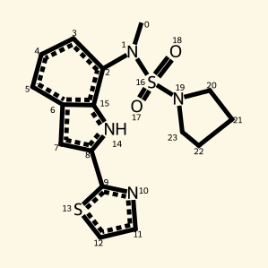 CN(c1cccc2cc(-c3nccs3)[nH]c12)S(=O)(=O)N1CCCC1